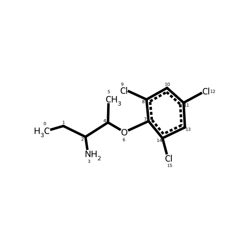 CCC(N)C(C)Oc1c(Cl)cc(Cl)cc1Cl